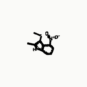 CSc1c(C)[nH]c2cccc([N+](=O)[O-])c12